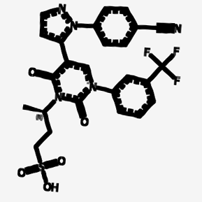 C[C@H](CCS(=O)(=O)O)n1c(=O)c(-c2ccnn2-c2ccc(C#N)cc2)cn(-c2cccc(C(F)(F)F)c2)c1=O